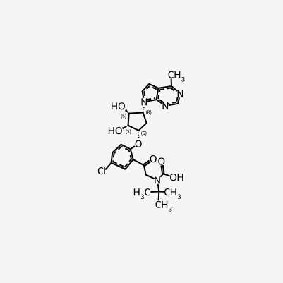 Cc1ncnc2c1ccn2[C@@H]1C[C@H](Oc2ccc(Cl)cc2C(=O)CN(C(=O)O)C(C)(C)C)[C@@H](O)[C@H]1O